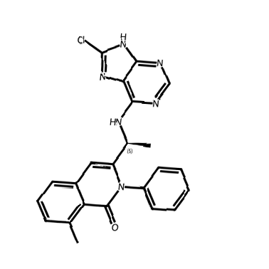 Cc1cccc2cc([C@H](C)Nc3ncnc4[nH]c(Cl)nc34)n(-c3ccccc3)c(=O)c12